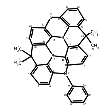 CC1(C)c2cccc3c2B2c4c(ccc5c4B4c6c(cccc6C5(C)C)Sc5ccc1c2c54)N3c1ccccc1